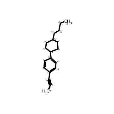 CC#Cc1ccc(C2CCC(CCCC)CC2)cc1